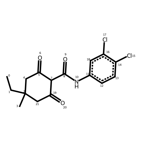 CCC1(C)CC(=O)C(C(=O)Nc2ccc(Cl)c(Cl)c2)C(=O)C1